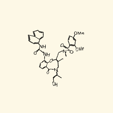 COc1ccc(S(=O)(=O)N(C)CC2Oc3c(NC(=O)Nc4cccc5ccccc45)cccc3C(=O)N(C(C)CO)CC2C)c(OC)c1